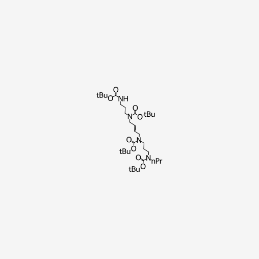 CCCN(CCCN(CC=CCN(CCCNC(=O)OC(C)(C)C)C(=O)OC(C)(C)C)C(=O)OC(C)(C)C)C(=O)OC(C)(C)C